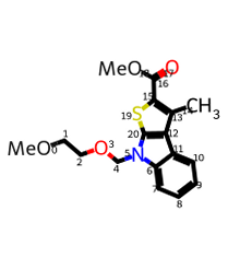 COCCOCn1c2ccccc2c2c(C)c(C(=O)OC)sc21